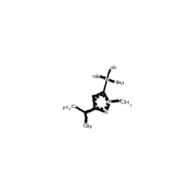 CCC[CH2][Sn]([CH2]CCC)([CH2]CCC)[c]1cc(C(C)O)nn1C